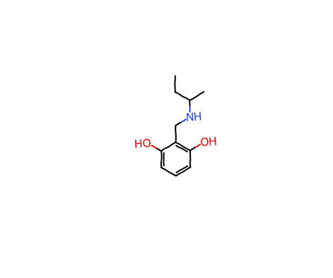 CCC(C)NCc1c(O)cccc1O